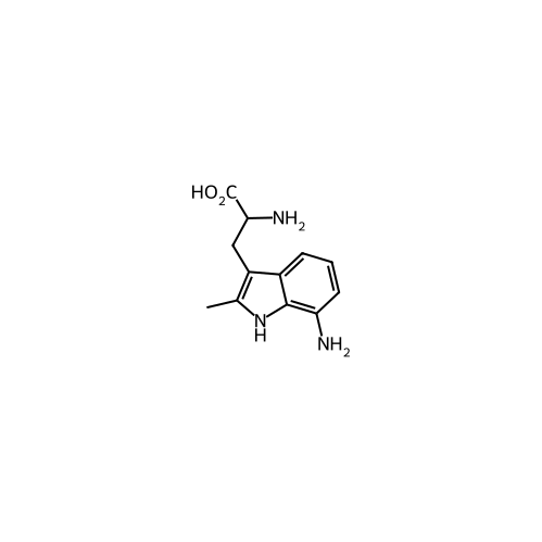 Cc1[nH]c2c(N)cccc2c1CC(N)C(=O)O